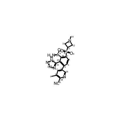 Cc1cc(-c2ccc(S(=O)(=O)C3CN(C)C3)c([S+](N)[O-])c2-c2nnn[nH]2)cnc1C#N